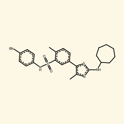 Cc1ccc(-c2sc(NC3CCCCCC3)nc2C)cc1S(=O)(=O)Nc1ccc(C(C)(C)C)cc1